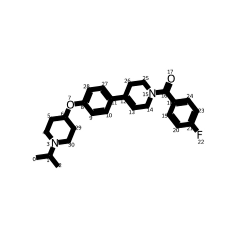 CC(C)N1CCC(Oc2ccc(C3=CCN(C(=O)c4ccc(F)cc4)CC3)cc2)CC1